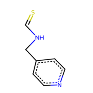 S=CNCc1ccncc1